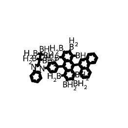 Bc1c(B)c(B)c2c(-c3cc4ccccc4c4ccccc34)c3c(B)c(B)c(B)c(B)c3c(-c3ccc(-n4c(C(B)(B)C(B)(B)B)nc5ccccc54)cc3)c2c1B